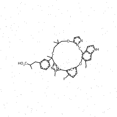 CC(Cc1cccc(C2(C)CCC(C)(C)COc3ccnn3Cc3c(c(F)cc4[nH]ccc34)Oc3ccc(F)c(c3)-c3nc2nn3C)c1)C(=O)O